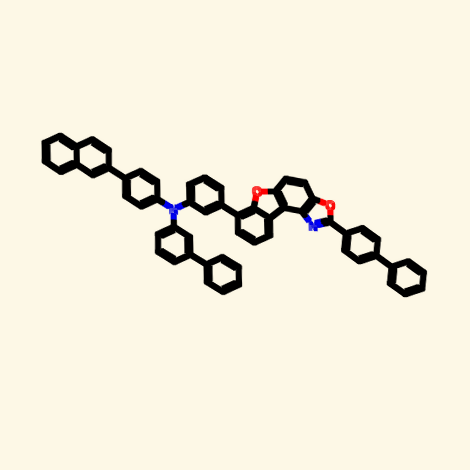 c1ccc(-c2ccc(-c3nc4c(ccc5oc6c(-c7cccc(N(c8ccc(-c9ccc%10ccccc%10c9)cc8)c8cccc(-c9ccccc9)c8)c7)cccc6c54)o3)cc2)cc1